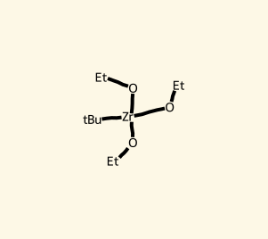 CC[O][Zr]([O]CC)([O]CC)[C](C)(C)C